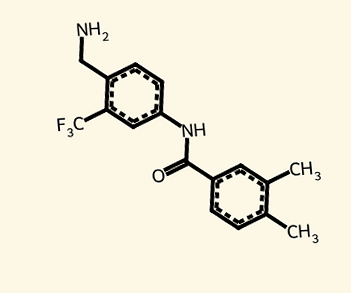 Cc1ccc(C(=O)Nc2ccc(CN)c(C(F)(F)F)c2)cc1C